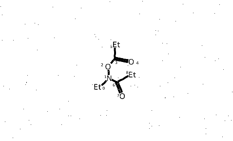 [CH2]CN(OC(=O)CC)C(=O)CC